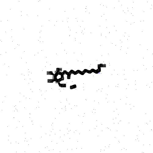 C=O.CCCCCCCC/C=C\CCCCCCCC(=O)OC1O[C@H](CO)[C@@H](O)[C@H](O)[C@H]1O